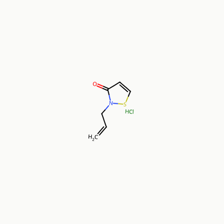 C=CCn1sccc1=O.Cl